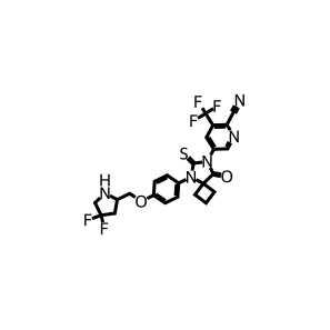 N#Cc1ncc(N2C(=O)C3(CCC3)N(c3ccc(OCC4CC(F)(F)CN4)cc3)C2=S)cc1C(F)(F)F